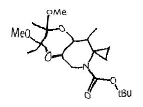 COC1(C)OC2CN(C(=O)OC(C)(C)C)C3(CC3)C(C)C2OC1(C)OC